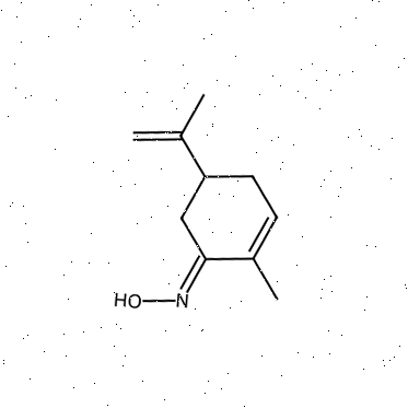 C=C(C)C1CC=C(C)C(=NO)C1